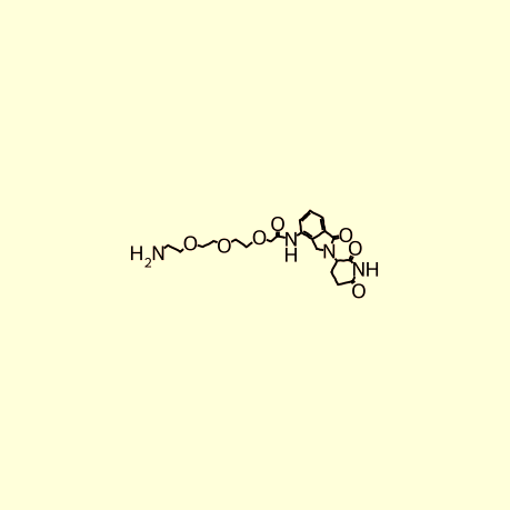 NCCOCCOCCOCC(=O)Nc1cccc2c1CN(C1CCC(=O)NC1=O)C2=O